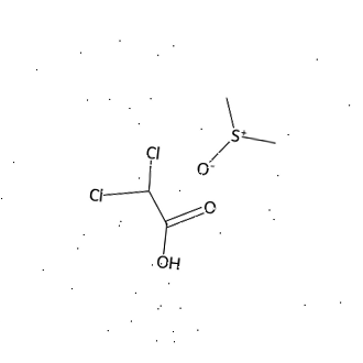 C[S+](C)[O-].O=C(O)C(Cl)Cl